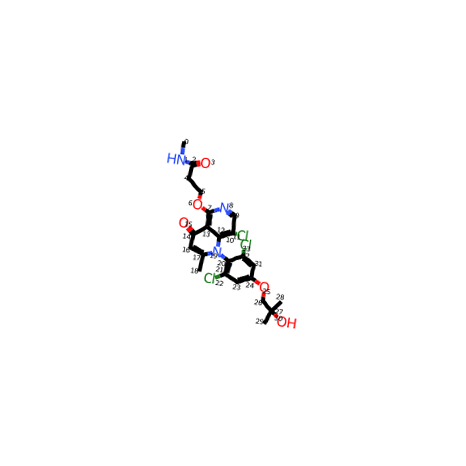 CNC(=O)CCOc1ncc(Cl)c2c1c(=O)cc(C)n2-c1c(Cl)cc(OCC(C)(C)O)cc1Cl